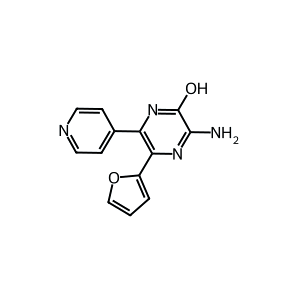 Nc1nc(-c2ccco2)c(-c2ccncc2)nc1O